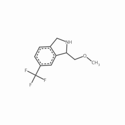 COCC1NCc2ccc(C(F)(F)F)cc21